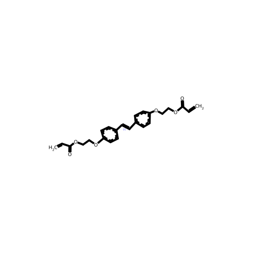 C=CC(=O)OCCOc1ccc(/C=C/c2ccc(OCCOC(=O)C=C)cc2)cc1